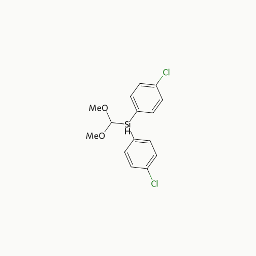 COC(OC)[SiH](c1ccc(Cl)cc1)c1ccc(Cl)cc1